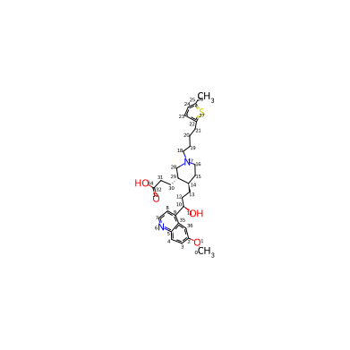 COc1ccc2nccc([C@H](O)CC[C@@H]3CCN(CCCCc4ccc(C)s4)C[C@H]3CCC(=O)O)c2c1